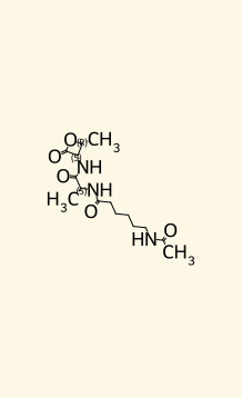 CC(=O)NCCCCCC(=O)N[C@@H](C)C(=O)N[C@@H]1C(=O)O[C@@H]1C